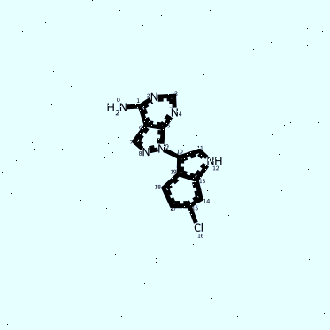 Nc1ncnc2c1cnn2-c1c[nH]c2cc(Cl)ccc12